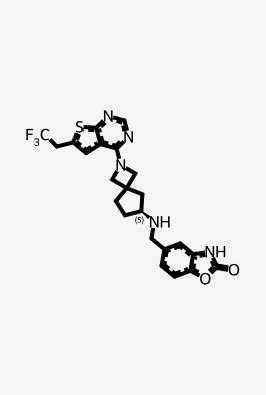 O=c1[nH]c2cc(CN[C@H]3CCC4(C3)CN(c3ncnc5sc(CC(F)(F)F)cc35)C4)ccc2o1